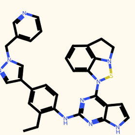 CCc1cc(-c2cnn(Cc3cccnc3)c2)ccc1Nc1nc(N2SN3CCc4cccc2c43)c2cc[nH]c2n1